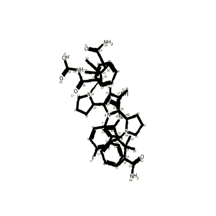 Cc1cc(F)ccc1-n1c(C2CCCN2[C@]2(C(=O)NC(=O)O)c3ccc(cc3)C(C(N)=O)C2(C)C)c(C)c(C)c1C1CCCN1[C@]1(C(=O)NC(=O)O)c2ccc(cc2)C(C(N)=O)C1(C)C